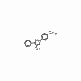 COc1ccc(-n2cc(O)c(-c3ccccc3)n2)cc1